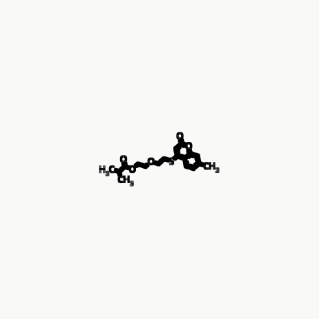 Cc1ccc2c(SCCOCCOC(=O)C(C)C)cc(=O)oc2c1